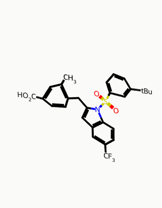 Cc1cc(C(=O)O)ccc1Cc1cc2cc(C(F)(F)F)ccc2n1S(=O)(=O)c1cccc(C(C)(C)C)c1